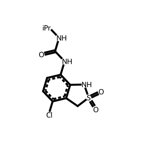 CC(C)NC(=O)Nc1ccc(Cl)c2c1NS(=O)(=O)C2